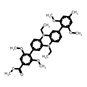 CCN1c2ccc(-c3c(OC)cc(C(=O)OC)cc3OC)cc2N(CC)c2ccc(-c3c(OC)cc(C)cc3OC)cc21